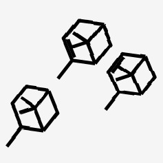 CC1=CCC2CC1C2(C)C.CC1C=CC2CC1C2(C)C.CC1CCC2CC1C2(C)C